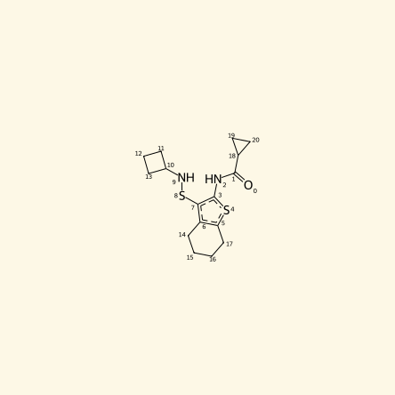 O=C(Nc1sc2c(c1SNC1CCC1)CCCC2)C1CC1